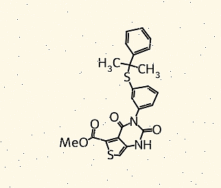 COC(=O)c1scc2[nH]c(=O)n(-c3cccc(SC(C)(C)c4ccccc4)c3)c(=O)c12